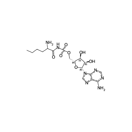 CCCCC(N)C(=O)NS(=O)(=O)OC[C@H]1O[C@@H](n2cnc3c(N)ncnc32)[C@H](O)[C@@H]1O